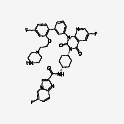 O=C(N[C@H]1CC[C@@H](n2c(=O)c3cc(F)cnc3n(-c3cccc(-c4ccc(F)cc4OCCN4CCNCC4)c3)c2=O)CC1)c1cn2cc(F)ccc2n1